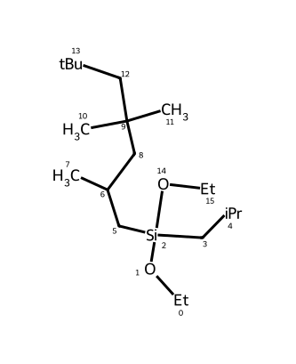 CCO[Si](CC(C)C)(CC(C)CC(C)(C)CC(C)(C)C)OCC